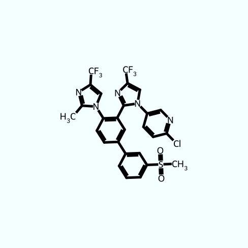 Cc1nc(C(F)(F)F)cn1-c1ccc(-c2cccc(S(C)(=O)=O)c2)cc1-c1nc(C(F)(F)F)cn1-c1ccc(Cl)nc1